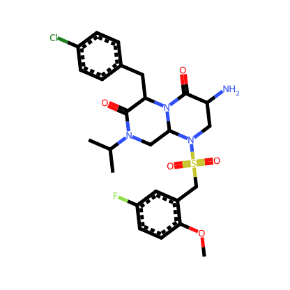 COc1ccc(F)cc1CS(=O)(=O)N1CC(N)C(=O)N2C(Cc3ccc(Cl)cc3)C(=O)N(C(C)C)CC21